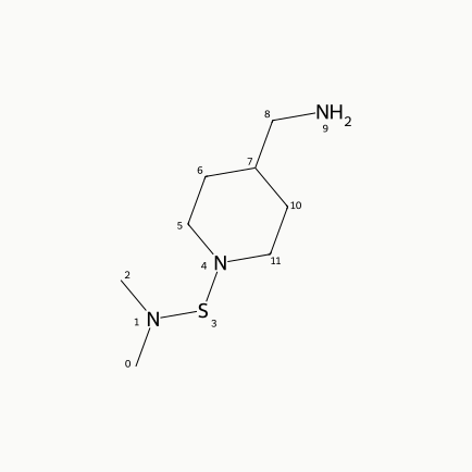 CN(C)SN1CCC(CN)CC1